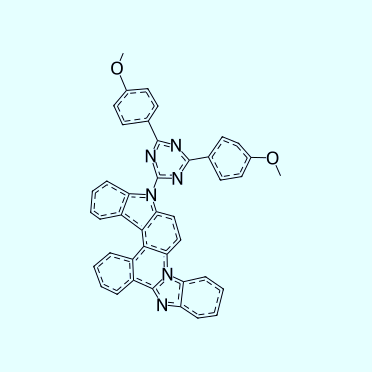 COc1ccc(-c2nc(-c3ccc(OC)cc3)nc(-n3c4ccccc4c4c5c6ccccc6c6nc7ccccc7n6c5ccc43)n2)cc1